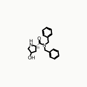 O=C([C@@H]1CC(O)CN1)N(Cc1ccccc1)Cc1ccccc1